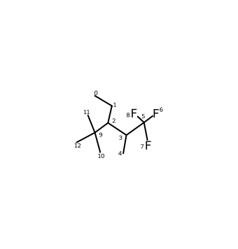 CCC(C(C)C(F)(F)F)C(C)(C)C